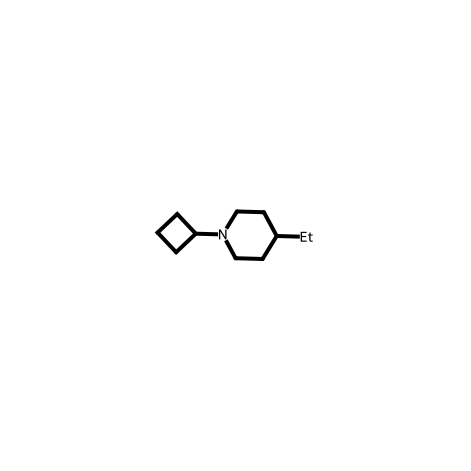 [CH2]CC1CCN(C2CCC2)CC1